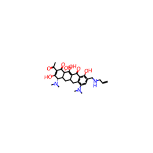 C=CCNCc1cc(N(C)C)c2c(c1O)C(=O)C1=C(O)[C@]3(O)C(=O)C(C(C)=O)=C(O)[C@@H](N(C)C)C3CC1C2